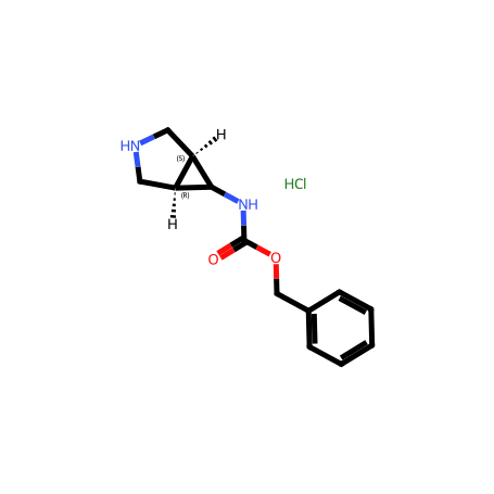 Cl.O=C(NC1[C@H]2CNC[C@@H]12)OCc1ccccc1